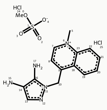 COS(=O)(=O)[O-].C[n+]1ccc(Cn2ncc(N)c2N)c2ccccc21.Cl.Cl